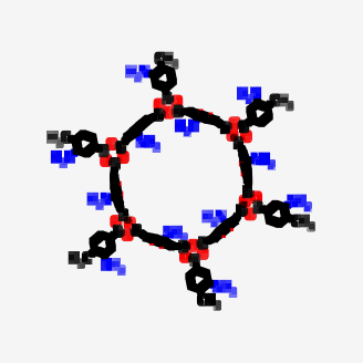 Cc1ccc(B2OB3OB(O2)c2ccc(cc2N)B2OB(c4ccc(C)c(N)c4)OB(O2)c2ccc(cc2N)B2OB(c4ccc(C)c(N)c4)OB(O2)c2ccc(cc2N)B2OB(c4ccc(C)c(N)c4)OB(O2)c2ccc(cc2N)B2OB(c4ccc(C)c(N)c4)OB(O2)c2ccc(cc2N)B2OB(c4ccc(C)c(N)c4)OB(O2)c2ccc3cc2N)cc1N